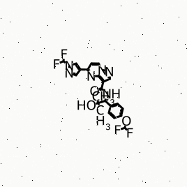 CC(C)(O)C(NC(=O)c1cnn2ccc(-c3cnn(C(F)F)c3)nc12)c1ccc(OC(F)F)cc1